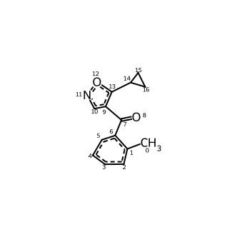 Cc1ccccc1C(=O)c1cnoc1C1CC1